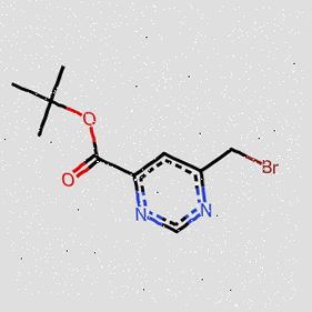 CC(C)(C)OC(=O)c1cc(CBr)ncn1